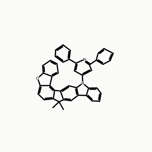 CC1(C)c2cc3c4ccccc4n(-c4cc(-c5ccccc5)nc(-c5ccccc5)c4)c3cc2-c2c1ccc1oc3ccccc3c21